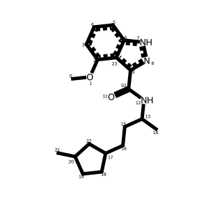 COc1cccc2[nH]nc(C(=O)NC(C)CCC3CCC(C)C3)c12